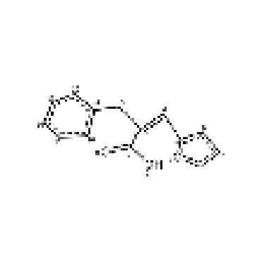 O=C(O)C(=Cc1ccco1)Cc1ccccc1